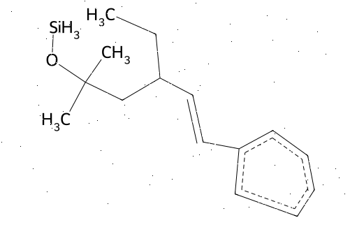 CCC(C=Cc1ccccc1)CC(C)(C)O[SiH3]